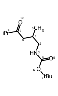 CC(CNC(=O)OC(C)(C)C)CC(=O)C(C)C